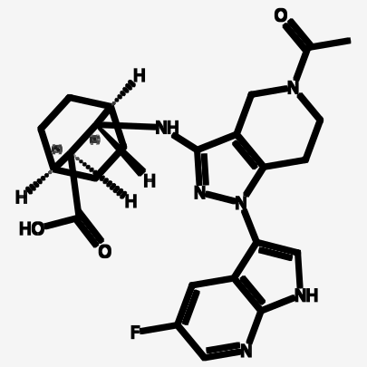 CC(=O)N1CCc2c(c(N[C@H]3[C@H]4CC[C@H](CC4)[C@@H]3C(=O)O)nn2-c2c[nH]c3ncc(F)cc23)C1